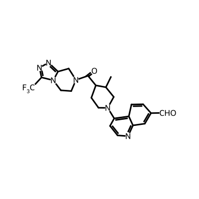 CC1CN(c2ccnc3cc(C=O)ccc23)CCC1C(=O)N1CCn2c(nnc2C(F)(F)F)C1